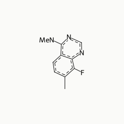 CNc1ncnc2c(F)c(C)ccc12